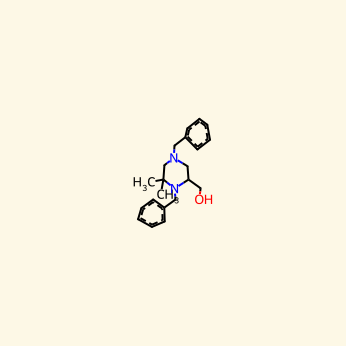 CC1(C)CN(Cc2ccccc2)CC(CO)N1Cc1ccccc1